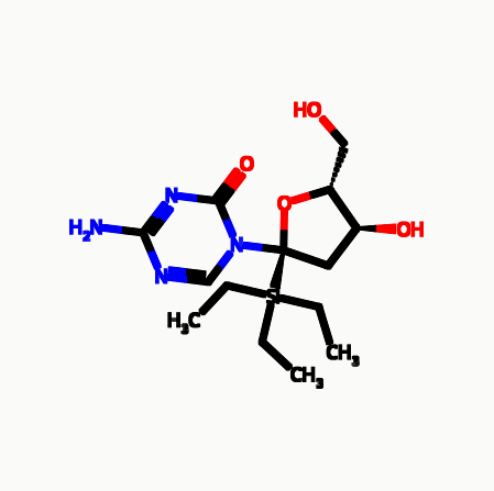 CC[Si](CC)(CC)[C@]1(n2cnc(N)nc2=O)C[C@H](O)[C@@H](CO)O1